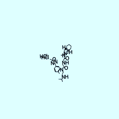 Cc1nc(-c2ccc(C)c(N(CCNC(C)C)C(=O)CNCC(=O)N(C)N3C[C@H]4CCCC[C@H]4C3)c2)no1.Cl.Cl